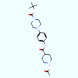 CC(=O)ON1CCC(C(=O)Nc2ccc(N3CCN(C(=O)OC(C)(C)C)CC3)cc2)CC1